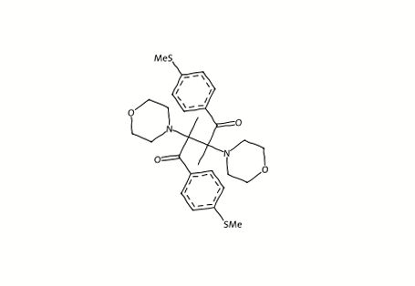 CSc1ccc(C(=O)C(C)(N2CCOCC2)C(C)(C(=O)c2ccc(SC)cc2)N2CCOCC2)cc1